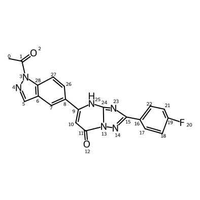 CC(=O)n1ncc2cc(-c3cc(=O)n4nc(-c5ccc(F)cc5)nc4[nH]3)ccc21